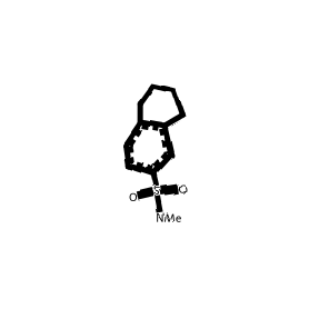 CNS(=O)(=O)c1ccc2c(c1)CCCC2